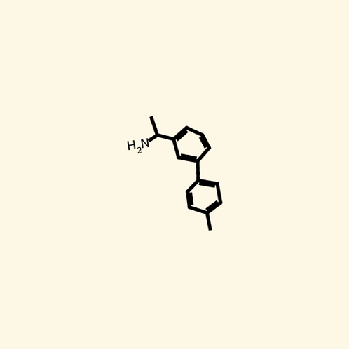 Cc1ccc(-c2cccc(C(C)N)c2)cc1